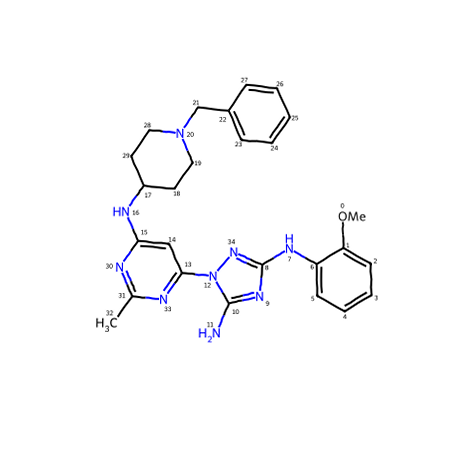 COc1ccccc1Nc1nc(N)n(-c2cc(NC3CCN(Cc4ccccc4)CC3)nc(C)n2)n1